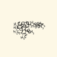 CCc1cc(CC)c(OC(=O)C(C)(C)C)c(/C=C/C(=O)c2ccc(OC(=O)C(C)(C)C)cc2)c1OC